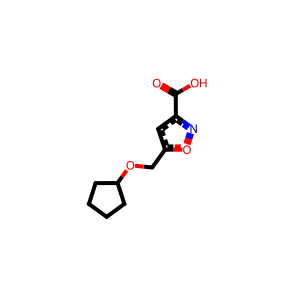 O=C(O)c1cc(COC2CCCC2)on1